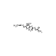 CC#CCOc1ccc(C[C@H](N)COC(C)=O)cc1.Cl